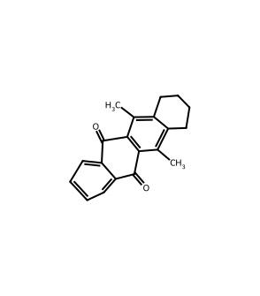 Cc1c2c(c(C)c3c1C(=O)c1ccccc1C3=O)CCCC2